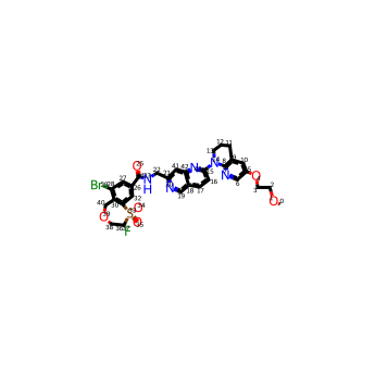 COCCOc1cnc2c(c1)CCCN2c1ccc2cnc(CNC(=O)c3cc(Br)c4c(c3)S(=O)(=O)[C@@H](F)COC4)cc2n1